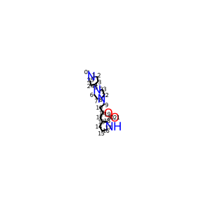 CN1CCC(N2CCN(CCC(CC3CCCNC3)OC=O)CC2)CC1